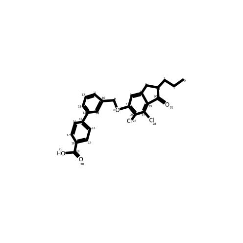 CCCC1Cc2cc(OCc3cccc(-c4ccc(C(=O)O)cc4)c3)c(Cl)c(Cl)c2C1=O